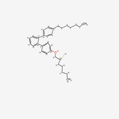 CCCCCCCc1ccc(-c2ccccc2-c2ccc(OCC(F)CCCCC)cc2)cc1